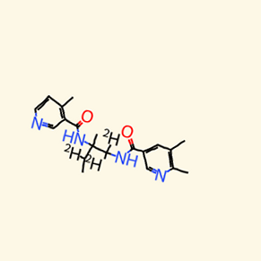 [2H]C([2H])(C)C(C)(NC(=O)c1cnccc1C)C([2H])(C)NC(=O)c1cnc(C)c(C)c1